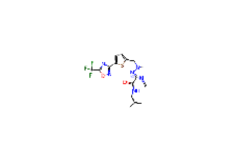 C=N/C(=N\N(C)Cc1ccc(-c2noc(C(F)(F)F)n2)s1)C(=O)NCC(C)C